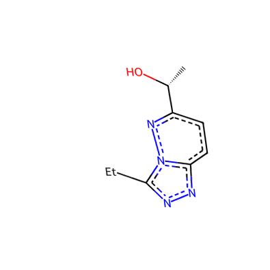 CCc1nnc2ccc([C@@H](C)O)nn12